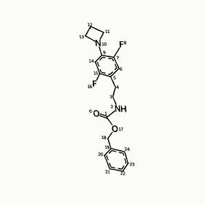 O=C(NCCc1cc(F)c(N2C[CH]C2)cc1F)OCc1ccccc1